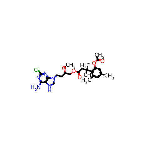 COC(CCN1CNc2c(N)nc(Cl)nc21)COC(=O)CC(C)(C)c1c(C)cc(C)cc1OC(C)=O